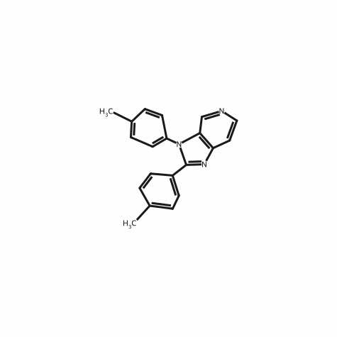 Cc1ccc(-c2nc3ccncc3n2-c2ccc(C)cc2)cc1